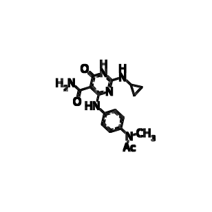 CC(=O)N(C)c1ccc(Nc2nc(NC3CC3)[nH]c(=O)c2C(N)=O)cc1